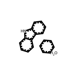 O.c1ccc2c(c1)[nH]c1ccccc12.c1ccccc1